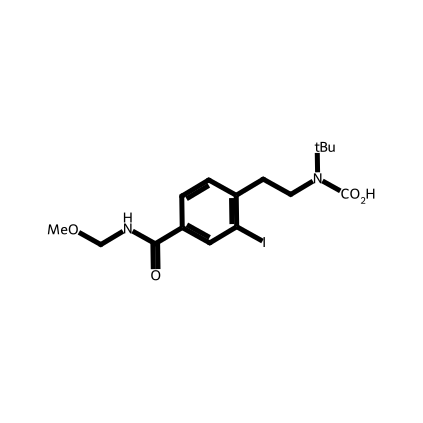 COCNC(=O)c1ccc(CCN(C(=O)O)C(C)(C)C)c(I)c1